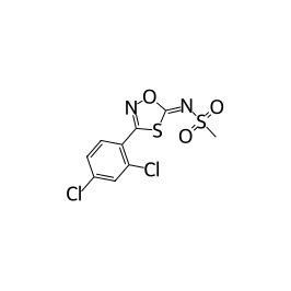 CS(=O)(=O)N=c1onc(-c2ccc(Cl)cc2Cl)s1